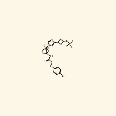 O=C(COc1ccc(Cl)cc1)NC12CC(C1)[C@@H](n1cnc(C3CC(OC(F)(F)F)C3)c1)C2